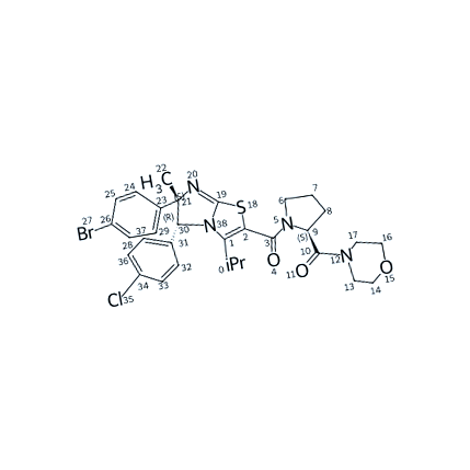 CC(C)C1=C(C(=O)N2CCC[C@H]2C(=O)N2CCOCC2)SC2=N[C@@](C)(c3ccc(Br)cc3)[C@@H](c3ccc(Cl)cc3)N21